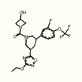 CCOc1noc(C2CC(c3ccc(OC(F)(F)F)c(F)c3)CN(C(=O)N3CC(O)C3)C2)n1